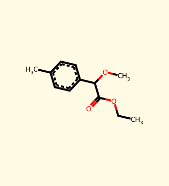 CCOC(=O)C(OC)c1ccc(C)cc1